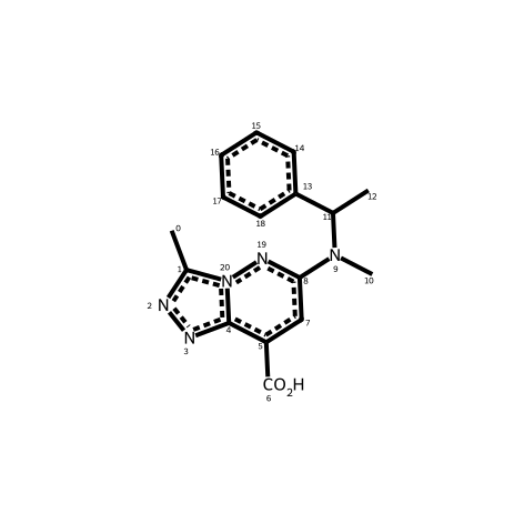 Cc1nnc2c(C(=O)O)cc(N(C)C(C)c3ccccc3)nn12